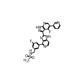 CS(=O)(=O)NCc1cc(F)cc(-c2nccc3[nH]c(-c4n[nH]c5ncc(-c6cccnc6)c(F)c45)nc23)c1